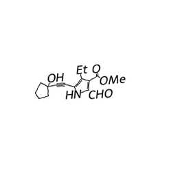 CCc1c(C#CC2(O)CCCC2)[nH]c(C=O)c1C(=O)OC